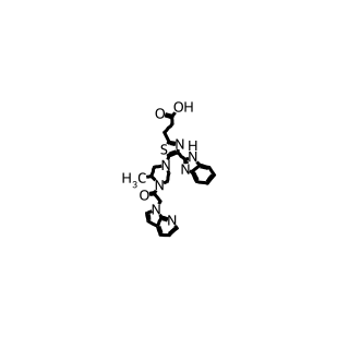 CC1CN(c2sc(CCC(=O)O)nc2-c2nc3ccccc3[nH]2)CCN1C(=O)Cn1ccc2cccnc21